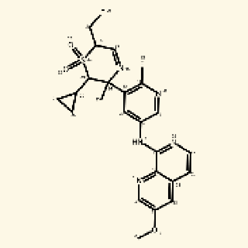 COc1cnc2c(Nc3cnc(F)c(C4(C)N=CC(CF)S(=O)(=O)C4C4CC4)c3)nccc2c1